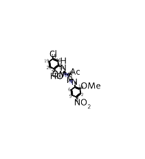 COc1cc([N+](=O)[O-])ccc1/N=N/C(C(C)=O)=C(\O)Nc1cc(Cl)ccc1OC